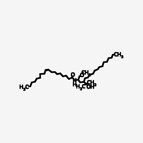 CCCCCCCC/C=C\CCCCCCCC(=O)NC(COC)CC(CCCCCCCCCCCCCC)C(C)(C)O